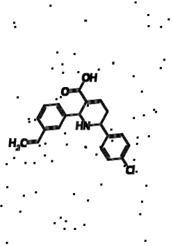 C=Cc1cccc(C2NC(c3ccc(Cl)cc3)CC=C2C(=O)O)c1